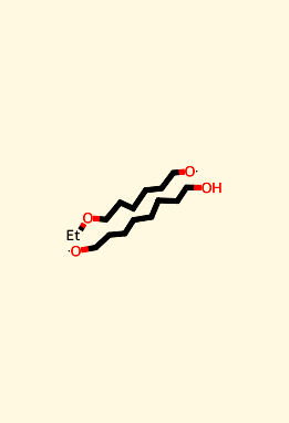 CCOCCCCCC[O].[O]CCCCCCCCO